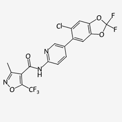 Cc1noc(C(F)(F)F)c1C(=O)Nc1ccc(-c2cc3c(cc2Cl)OC(F)(F)O3)cn1